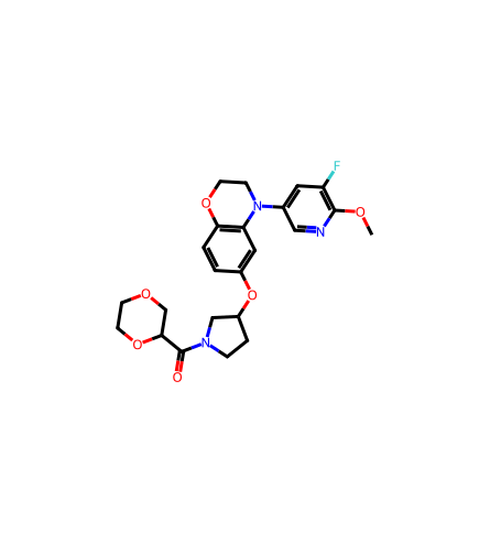 COc1ncc(N2CCOc3ccc(OC4CCN(C(=O)C5COCCO5)C4)cc32)cc1F